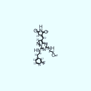 COCCNc1nc(NCCc2cccc(F)c2)n2ncc(/C=C3\CC(=O)NC3=O)c2n1